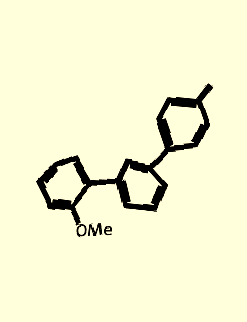 COc1ccccc1-c1cccc(-c2ccc(C)cc2)c1